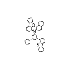 c1ccc(-c2cc(-c3cccc4c3sc3ccccc34)cc(N(c3ccc4ccccc4c3)c3cccc4c3oc3ccccc34)c2)cc1